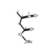 CC(=C=O)CC(=O)OC(C)(C)C